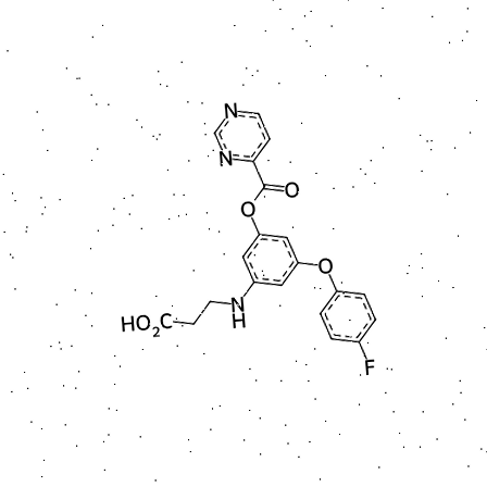 O=C(O)CCNc1cc(OC(=O)c2ccncn2)cc(Oc2ccc(F)cc2)c1